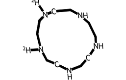 [2H]N1CCNCCNCCNCCN([2H])CC1